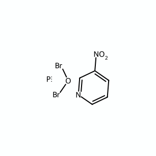 BrOBr.O=[N+]([O-])c1cccnc1.[P]